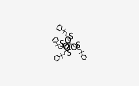 CC(C)(CCC(=S)OCC(COC(=S)CCC(C)(C)c1ccccc1)(COC(=S)CCC(C)(C)c1ccccc1)COC(=S)CCC(C)(C)c1ccccc1)c1ccccc1